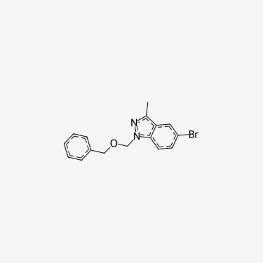 Cc1nn(COCc2ccccc2)c2ccc(Br)cc12